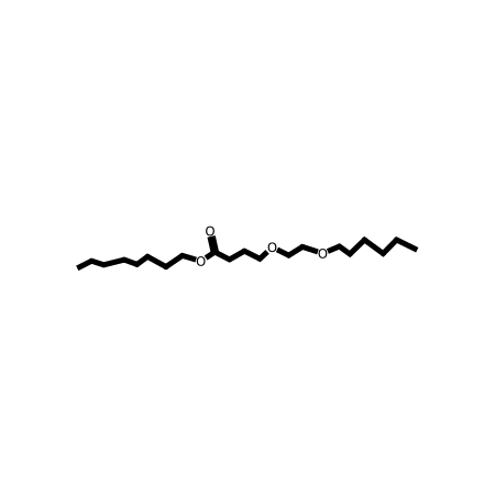 CCCCCCCCOC(=O)CCCOCCOCCCCCC